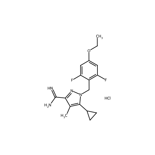 CCOc1cc(F)c(Cn2nc(C(=N)N)c(C)c2C2CC2)c(F)c1.Cl